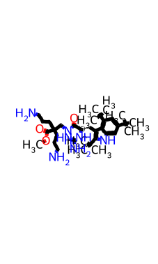 COC(=O)C(CCCN)(CCCN)CNC(=O)[C@H](Cc1c(C(C)(C)C)[nH]c2cc(C(C)(C)C)cc(C(C)(C)C)c12)NC(=N)N